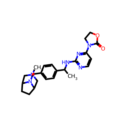 CC(Nc1nccc(N2CCOC2=O)n1)c1ccc(CN2C3CCC2CN(C)C3)cc1